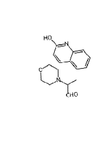 CC(C=O)N1CCOCC1.Oc1ccc2ccccc2n1